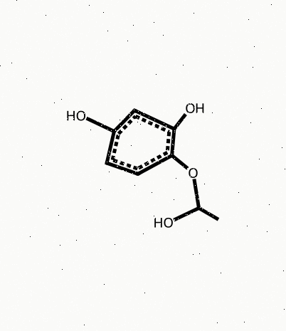 CC(O)Oc1ccc(O)cc1O